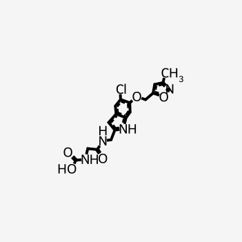 Cc1cc(COc2cc3[nH]c(CNC(=O)CNC(=O)O)cc3cc2Cl)on1